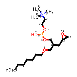 CCCCCCCCCCCCCCCCOCC(COP(O)OCC[N+](C)(C)C)CC1CO1